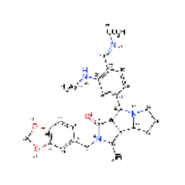 CC(C)C1C2C(C(=O)N1Cc1ccc3c(c1)OCO3)C(c1ccc(C=NC(=O)O)c(N[AsH2])c1)N1CCCC21